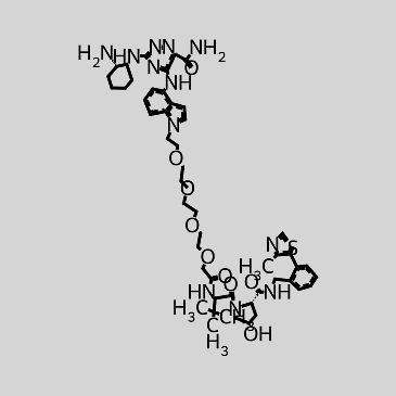 Cc1ncsc1-c1ccccc1CNC(=O)[C@@H]1C[C@@H](O)CN1C(=O)[C@@H](NC(=O)COCCOCCOCCOCCn1ccc2c(Nc3nc(N[C@@H]4CCCC[C@@H]4N)nnc3C(N)=O)cccc21)C(C)(C)C